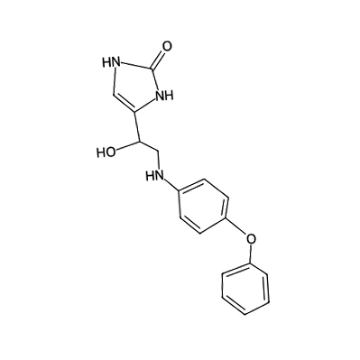 O=c1[nH]cc(C(O)CNc2ccc(Oc3ccccc3)cc2)[nH]1